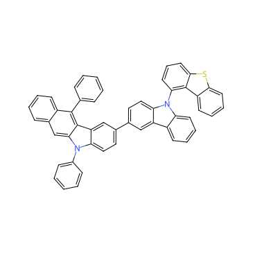 c1ccc(-c2c3ccccc3cc3c2c2cc(-c4ccc5c(c4)c4ccccc4n5-c4cccc5sc6ccccc6c45)ccc2n3-c2ccccc2)cc1